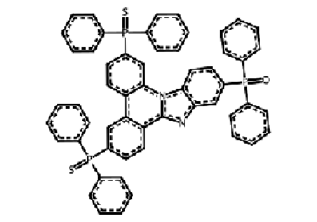 O=P(c1ccccc1)(c1ccccc1)c1ccc2c(c1)nc1c3ccc(P(=S)(c4ccccc4)c4ccccc4)cc3c3ccc(P(=S)(c4ccccc4)c4ccccc4)cc3n21